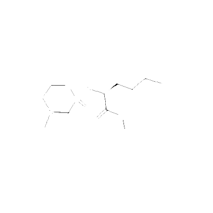 CCC(C)CCC[C@H](N[P@]1(=O)CN(C)CCS1)C(=O)OC(C)C